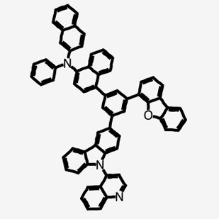 c1ccc(N(c2ccc3ccccc3c2)c2ccc(-c3cc(-c4ccc5c(c4)c4ccccc4n5-c4ccnc5ccccc45)cc(-c4cccc5c4oc4ccccc45)c3)c3ccccc23)cc1